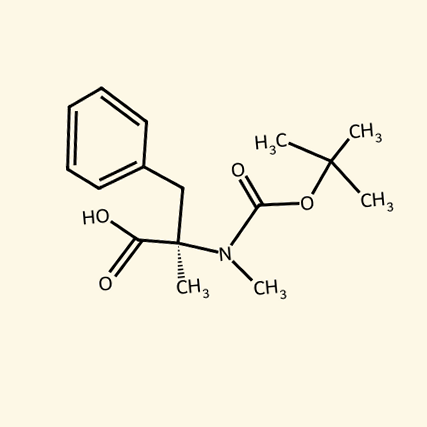 CN(C(=O)OC(C)(C)C)[C@](C)(Cc1ccccc1)C(=O)O